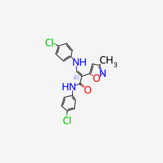 Cc1cc(/C(=C\Nc2ccc(Cl)cc2)C(=O)Nc2ccc(Cl)cc2)on1